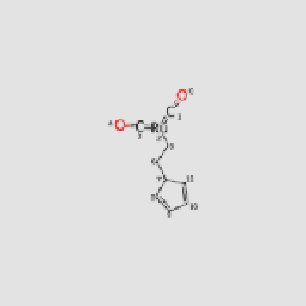 O=[C]=[Ru](=[C]=O)[CH2]CC1C=CC=C1